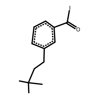 CC(C)(C)CCc1cccc(C(=O)I)c1